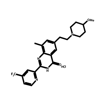 COC1CCN(CCc2cc(C)c3nc(-c4cc(C(F)(F)F)ccn4)[nH]c(=O)c3c2)CC1.Cl